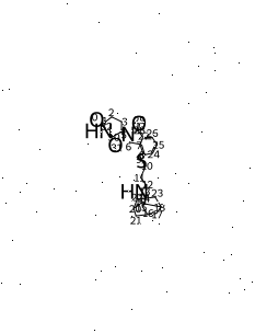 O=C1CCC(N2Cc3c(SCCCNC45CC6CC(CC(C6)C4)C5)cccc3C2=O)C(=O)N1